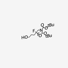 CC(C)(C)OC(=O)N(CC(F)(F)CCCO)C(=O)OC(C)(C)C